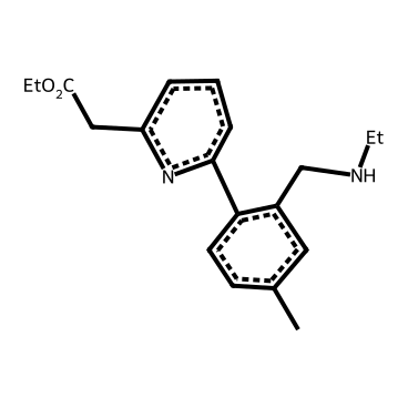 CCNCc1cc(C)ccc1-c1cccc(CC(=O)OCC)n1